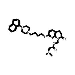 CP(C)CC(=O)OCN1C(=O)CCc2ccc(OCCCCN3CCN(c4cccc5ccccc45)CC3)nc21